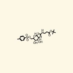 Cc1ccc(S(=O)(=O)OCC2O[C@@H]3SC(NCCC(=O)OC(C)(C)C)=N[C@H]3[C@@H](O)[C@@H]2O)cc1